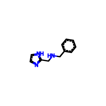 c1ccc(CNCc2ncc[nH]2)cc1